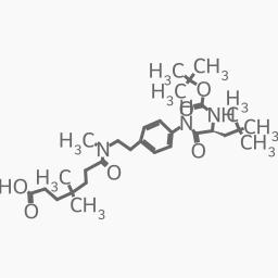 CN(CCc1ccc(NC(=O)[C@H](CC(C)(C)C)NC(=O)OC(C)(C)C)cc1)C(=O)CCC(C)(C)CCC(=O)O